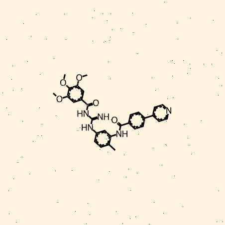 COc1cc(C(=O)NC(=N)Nc2ccc(C)c(NC(=O)c3ccc(-c4ccncc4)cc3)c2)cc(OC)c1OC